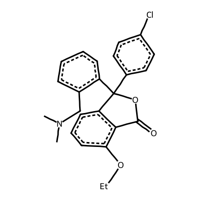 CCOc1cccc2c1C(=O)OC2(c1ccc(Cl)cc1)c1ccccc1CN(C)C